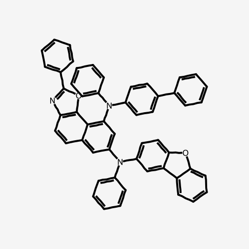 c1ccc(-c2ccc(N(c3ccccc3)c3cc(N(c4ccccc4)c4ccc5oc6ccccc6c5c4)cc4ccc5nc(-c6ccccc6)oc5c34)cc2)cc1